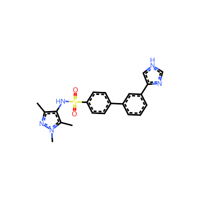 Cc1nn(C)c(C)c1NS(=O)(=O)c1ccc(-c2cccc(-c3c[nH]cn3)c2)cc1